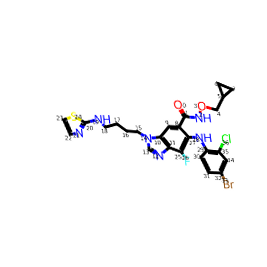 O=C(NOCC1CC1)c1cc2c(ncn2CCCCNc2nccs2)c(F)c1Nc1ccc(Br)cc1Cl